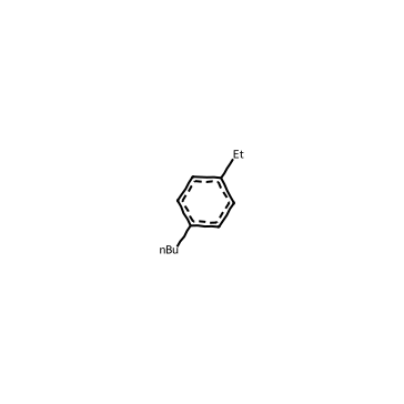 CCCCc1ccc(CC)cc1